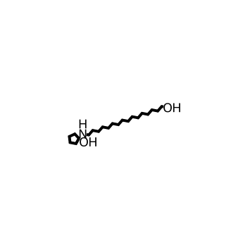 OCCCCCCCCCCCCCCCCNC1(O)CCCC1